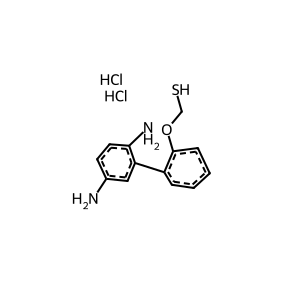 Cl.Cl.Nc1ccc(N)c(-c2ccccc2OCS)c1